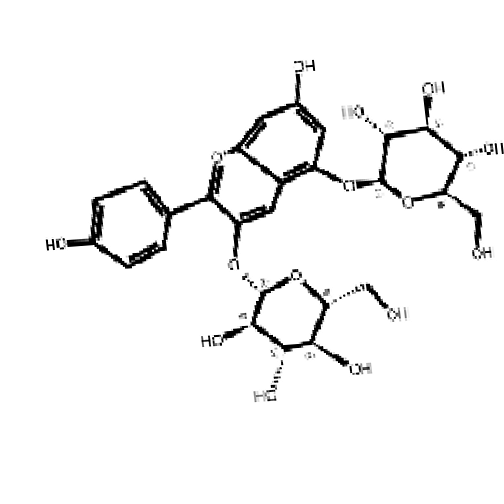 OC[C@H]1O[C@@H](Oc2cc3c(O[C@@H]4O[C@H](CO)[C@@H](O)[C@H](O)[C@H]4O)cc(O)cc3[o+]c2-c2ccc(O)cc2)[C@H](O)[C@@H](O)[C@@H]1O